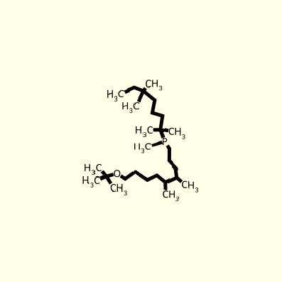 CCC(C)(C)CCCC(C)(C)P(C)CCCC(C)C(C)CCCCOC(C)(C)C